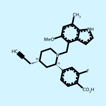 C#CC[C@@H]1CCN(Cc2c(OC)cc(C)c3[nH]ccc23)[C@H](c2ccc(C(=O)O)c(F)c2)C1